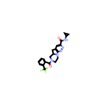 O=C(NC1CC1)c1cc2c(nn1)N1CCN(C(=O)c3ccccc3C(F)(F)F)CC1C2